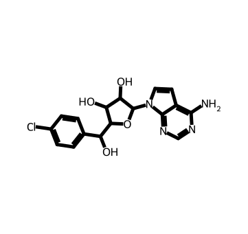 Nc1ncnc2c1ccn2C1OC(C(O)c2ccc(Cl)cc2)C(O)C1O